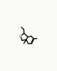 CCC1OCC2(C)CC=C(C)CC12